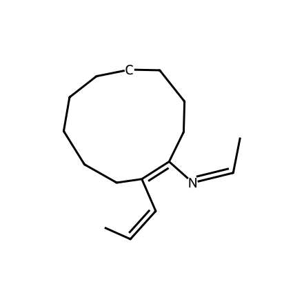 C\C=C/C1=C(\N=C/C)CCCCCCCCC1